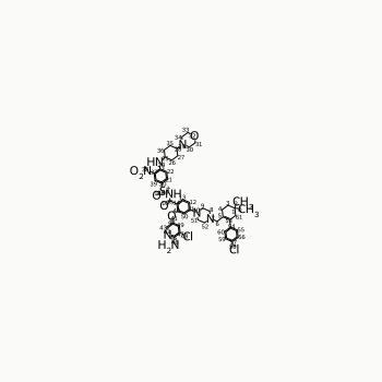 CC1(C)CCC(CN2CCN(c3ccc(C(=O)N[S+]([O-])c4ccc(NC5CCC(N6CCOCC6)CC5)c([N+](=O)[O-])c4)c(Oc4cnc(N)c(Cl)c4)c3)CC2)=C(c2ccc(Cl)cc2)C1